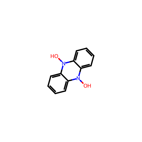 ON1c2ccccc2N(O)c2ccccc21